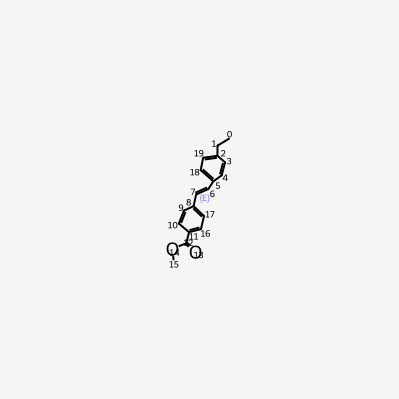 CCc1ccc(/C=C/c2ccc(C(=O)OC)cc2)cc1